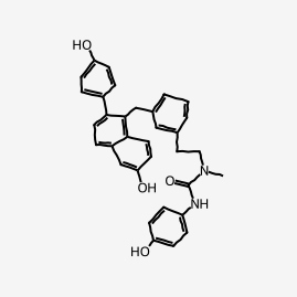 CN(CCc1cccc(Cc2c(-c3ccc(O)cc3)ccc3cc(O)ccc23)c1)C(=O)Nc1ccc(O)cc1